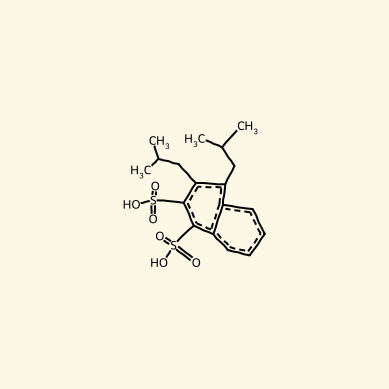 CC(C)Cc1c(S(=O)(=O)O)c(S(=O)(=O)O)c2ccccc2c1CC(C)C